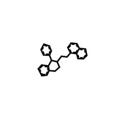 c1ccc(C2c3ccccc3CCC2CCc2cccc3ccccc23)cc1